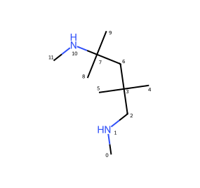 CNCC(C)(C)CC(C)(C)NC